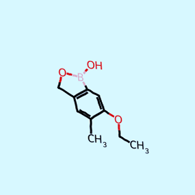 CCOc1cc2c(cc1C)COB2O